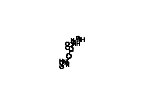 C1=C(c2ccc(-c3cnc([C@@H]4CCCN4)[nH]3)cc2)C2CCC3(CCCC3)C2C(c2cnc([C@@H]3CCCN3)[nH]2)=C1